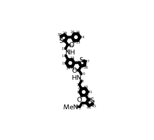 CNCC1Oc2cc(CCNCC3Oc4ccc(CNCC5Oc6ccccc6-c6ccsc65)cc4-c4sccc43)ccc2-c2sccc21